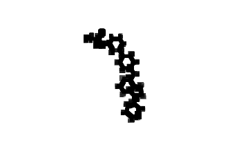 CC(C)C(=O)Nc1cccc(C2CCN(Cc3cccc4c3ccn4-c3cccnc3)CC2)c1